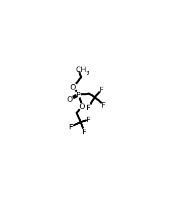 CCOP(=O)(CC(F)(F)F)OCC(F)(F)F